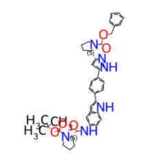 CC(C)(C)OC(=O)N1CCC[C@H]1C(=O)Nc1ccc2[nH]c(-c3ccc(-c4cc([C@@H]5CCCN5C(=O)OCc5ccccc5)n[nH]4)cc3)cc2c1